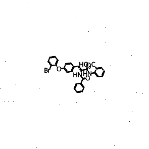 O=C(Nc1ccccc1C(=O)O)C(=Cc1ccc(Oc2ccccc2Br)cc1)NC(=O)c1ccccc1